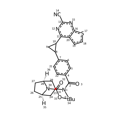 CN(C(=O)c1ccc(C2CC2c2nc(C#N)nc3sccc23)cc1)C1C[C@H]2CC[C@@H](C1)N2C(=O)OC(C)(C)C